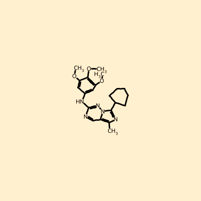 COc1cc(Nc2ncc3c(C)nc(C4CCCCC4)n3n2)cc(OC)c1OC